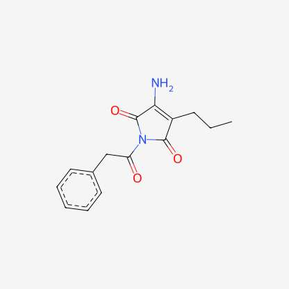 CCCC1=C(N)C(=O)N(C(=O)Cc2ccccc2)C1=O